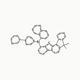 CC1(C)c2ccccc2-c2c1ccc1c2sc2c(N(c3ccc(-c4ccccc4)cc3)c3cccc4ccccc34)cccc21